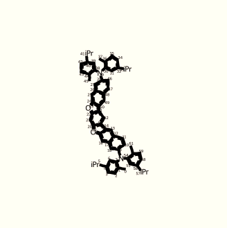 Cc1ccc(C(C)C)cc1N(c1ccc2cc3c(cc2c1)oc1cc2oc4cc5cc(N(c6cc(C(C)C)ccc6C)c6cc(C(C)C)ccc6C)ccc5cc4c2cc13)c1cc(C(C)C)ccc1C